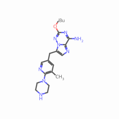 CCC(C)Oc1nc(N)c2ncc(Cc3cnc(N4CCNCC4)c(C)c3)n2n1